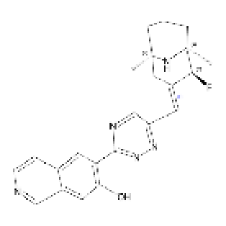 C[C@]12CCC[C@](C)(N1)[C@@H](F)/C(=C/c1cnc(-c3cc4ccncc4cc3O)nn1)C2